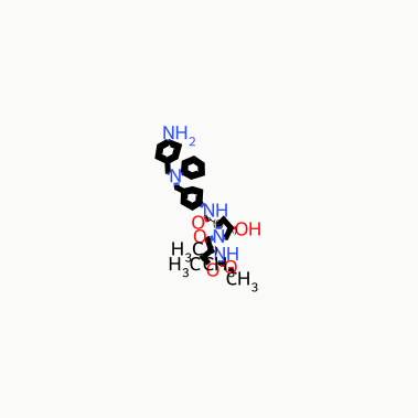 COC(=O)N[C@H](C(=O)N1C[C@H](O)C[C@H]1C(=O)Nc1ccc(CN(Cc2ccc(N)cc2)c2ccccc2)cc1)C(C)(C)C